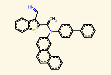 C=C(c1sc2ccccc2c1C=N)N(c1ccc(-c2ccccc2)cc1)c1ccc2ccc3ccccc3c2c1